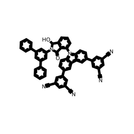 N#Cc1cc(C#N)cc(-c2ccc3c(c2)c2cc(-c4cc(C#N)cc(C#N)c4)ccc2n3-c2cccc3c2C(=O)N(c2cc(-c4ccccc4)cc(-c4ccccc4)c2)C3O)c1